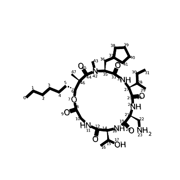 CCCCCC[C@H]1OC(=O)CNC(=O)[C@H](C(C)O)NC(=O)[C@H](CN)NC(=O)[C@H](C(C)CC)NC(=O)[C@H](CC2CCCC2)N(C)C(=O)[C@@H]1C